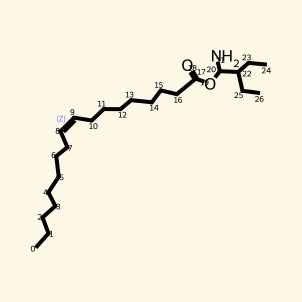 CCCCCCCC/C=C\CCCCCCCC(=O)OC(N)C(CC)CC